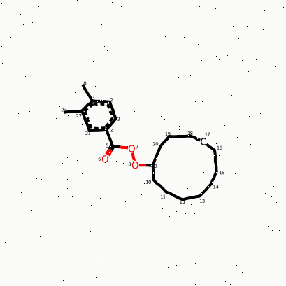 Cc1ccc(C(=O)OO[C]2CCCCCCCCCCC2)cc1C